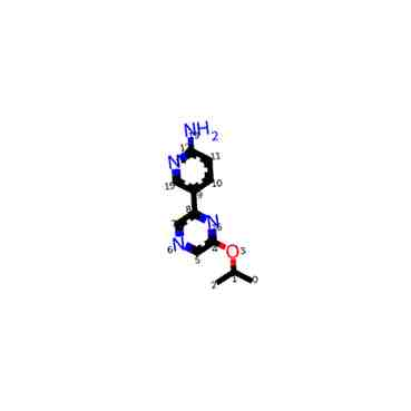 CC(C)Oc1cncc(-c2ccc(N)nc2)n1